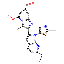 CCc1ccc2cc(-c3nc4cc(C=O)cc(OC)n4c3C)n(-c3cnc(C)s3)c2n1